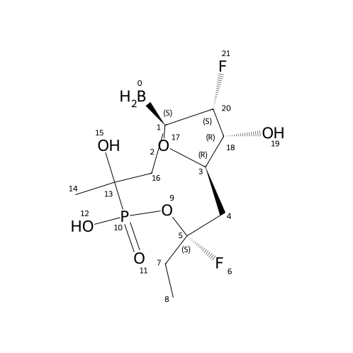 B[C@@H]1O[C@H](C[C@@](F)(CC)OP(=O)(O)C(C)(O)CC)[C@@H](O)[C@H]1F